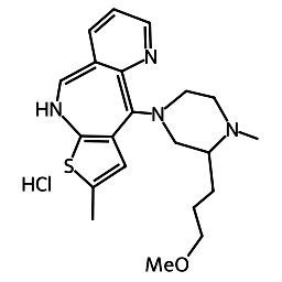 COCCCC1CN(C2=c3ncccc3=CNc3sc(C)cc32)CCN1C.Cl